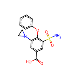 NS(=O)(=O)c1cc(C(=O)O)cc(N2CC2)c1Oc1ccccc1